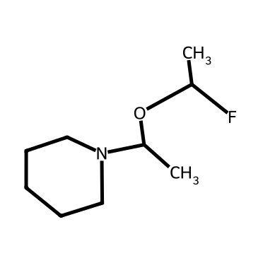 CC(F)OC(C)N1CCCCC1